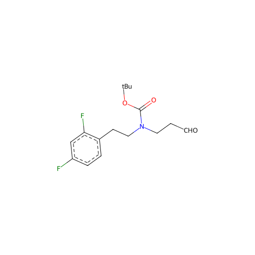 CC(C)(C)OC(=O)N(CCC=O)CCc1ccc(F)cc1F